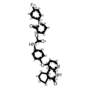 O=C(Nc1ccc(Oc2ccnc3[nH]c(=O)c4c(c23)CCCC4)cc1)Oc1cccn(-c2ccc(F)cc2)c1=O